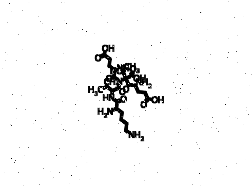 CC(C)C(NC(=O)C(N)CCCCN)C(=O)N(C(=O)C(N)CCC(=O)O)C(C(=O)O)(C(=O)C(N)CCC(=O)O)C(C)O